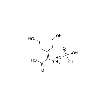 CC(C(=O)O)=C(CCO)CCO.O=P(O)(O)O